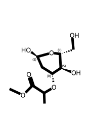 COC(=O)C(C)O[C@@H]1C[C@@H](O)O[C@H](CO)[C@H]1O